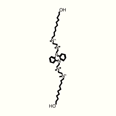 C[N+](C)(CCCCCCCCCCCO)CC[N+](C)(C)CCN1c2ccccc2N(CC[N+](C)(C)CC[N+](C)(C)CCCCCCCCCCCO)c2ccccc21